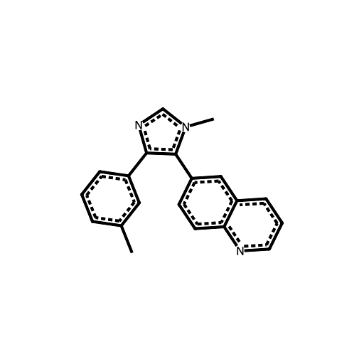 Cc1cccc(-c2ncn(C)c2-c2ccc3ncccc3c2)c1